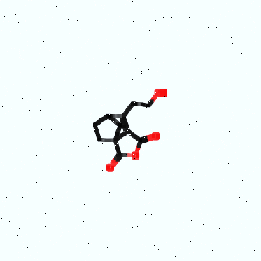 O=C1OC(=O)C23CCC(C2)C(CCO)=C13